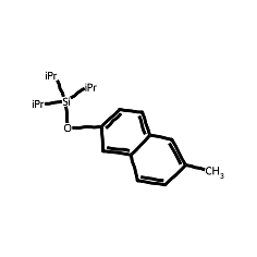 Cc1ccc2cc(O[Si](C(C)C)(C(C)C)C(C)C)ccc2c1